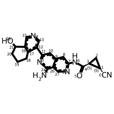 N#C[C@H]1C[C@@H]1C(=O)Nc1cc2cc(-c3cncc4c3CCCC4O)nc(N)c2cn1